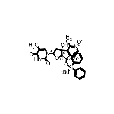 [CH2]c1c([C@@]2(O)C[C@H](n3cc(C)c(=O)[nH]c3=O)O[C@@H]2CO[Si](c2ccccc2)(c2ccccc2)C(C)(C)C)c(OC)cc[n+]1[O-]